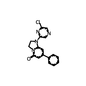 O=c1cc(-c2ccccc2)cc2n1CCN2c1cncc(Cl)n1